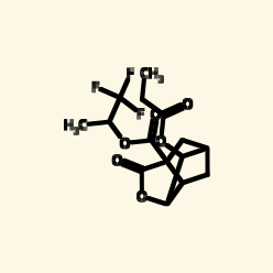 CCC(=O)OC1C2CC3C1OC(=O)C3(C(=O)OC(C)C(F)(F)F)C2